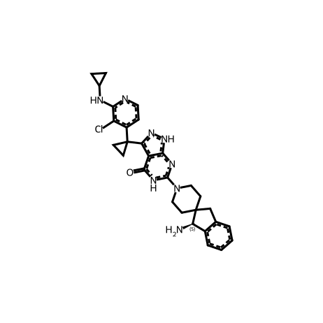 N[C@@H]1c2ccccc2CC12CCN(c1nc3[nH]nc(C4(c5ccnc(NC6CC6)c5Cl)CC4)c3c(=O)[nH]1)CC2